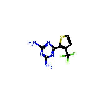 Nc1nc(N)nc(-c2sccc2C(F)(F)F)n1